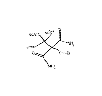 CCCCCCCCC(CCCCC)(CCCCCCCC)C(OCC)(C(N)=O)C(N)=O